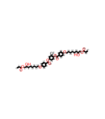 C=CC(=O)OCC(O)CCCCCCOc1ccc(C(=O)Oc2ccc(OC(=O)c3ccc(OCCCCCCC(O)COC(=O)C=C)cc3)c(C(F)(F)F)c2)cc1